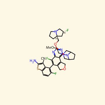 COCCN1CC2CCC(C1)N2c1nc(OC[C@@]23CCCN2C[C@H](F)C3)nc2c(F)c(-c3c(F)ccc4sc(N)c(C#N)c34)c3c(c12)COC3